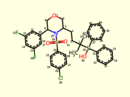 CC(C)(CCC1COCC(c2cc(F)cc(F)c2)N1S(=O)(=O)c1ccc(Cl)cc1)[Si](O)(c1ccccc1)c1ccccc1